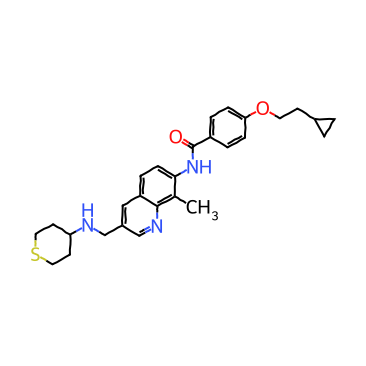 Cc1c(NC(=O)c2ccc(OCCC3CC3)cc2)ccc2cc(CNC3CCSCC3)cnc12